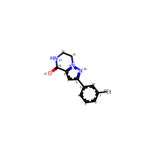 CCc1cccc(-c2cc3n(n2)CCNC3=O)c1